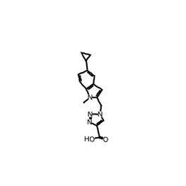 Cn1c(Cn2cc(C(=O)O)nn2)cc2cc(C3CC3)ccc21